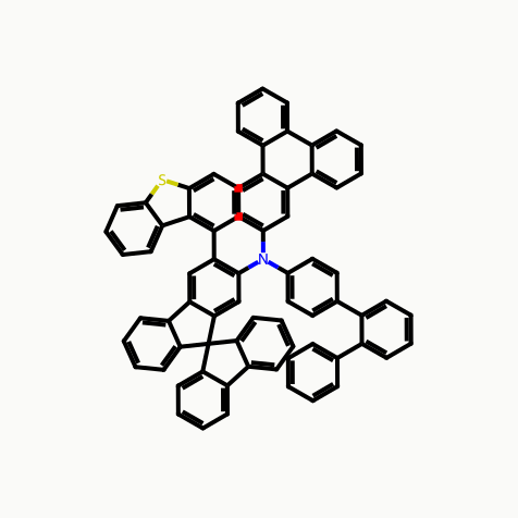 c1ccc(-c2ccccc2-c2ccc(N(c3ccc4c5ccccc5c5ccccc5c4c3)c3cc4c(cc3-c3cccc5sc6ccccc6c35)-c3ccccc3C43c4ccccc4-c4ccccc43)cc2)cc1